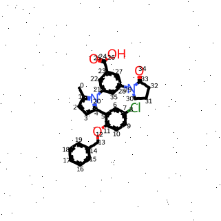 Cc1ccc(-c2cc(Cl)ccc2OCc2ccccc2)n1-c1cc(C(=O)O)cc(N2CCCC2=O)c1